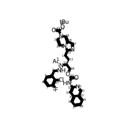 CC(=O)N(NCc1cccc(F)c1Cl)[C@@H](CCC1N=CC2=CN(C(=O)OC(C)(C)C)C=CN21)COC(=O)Nc1cc2ccccc2cn1